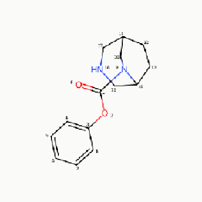 O=C(Oc1ccccc1)N1CC2CCC1CNC2